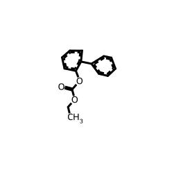 CCOC(=O)Oc1ccccc1-c1ccccc1